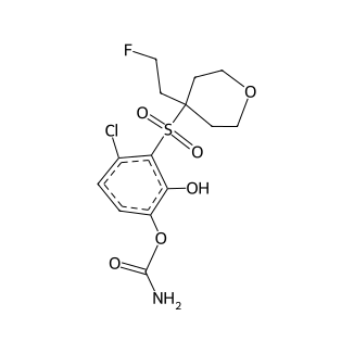 NC(=O)Oc1ccc(Cl)c(S(=O)(=O)C2(CCF)CCOCC2)c1O